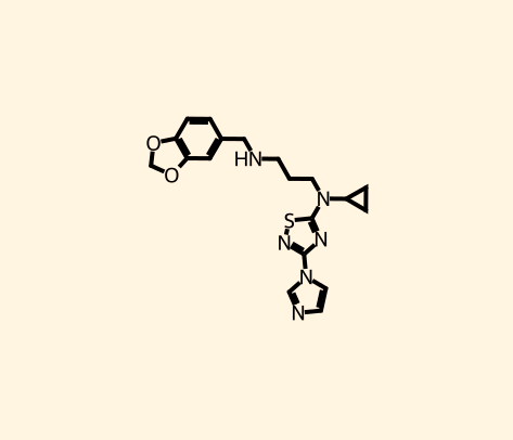 c1cn(-c2nsc(N(CCCNCc3ccc4c(c3)OCO4)C3CC3)n2)cn1